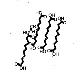 C=C.O=C(O)CCCCCCCCC(=O)O.O=C(O)CCCCCCCCC(=O)O.O=C(O)CCCCCCCCC(=O)O.O=C(O)CCCCCCCCC(=O)O